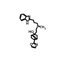 CN(CCCc1nc2ccccc2[nH]1)CCC1(O)CC2CCC1C=C2c1ncco1